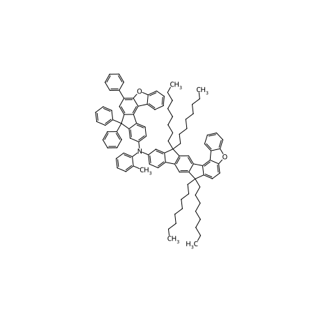 CCCCCCCCC1(CCCCCCCC)c2cc(N(c3ccc4c(c3)C(c3ccccc3)(c3ccccc3)c3cc(-c5ccccc5)c5oc6ccccc6c5c3-4)c3ccccc3C)ccc2-c2cc3c(cc21)-c1c(ccc2oc4ccccc4c12)C3(CCCCCCCC)CCCCCCCC